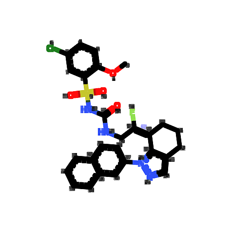 COc1ccc(Cl)cc1S(=O)(=O)NC(=O)NC/C(F)=C1/CCCc2cnn(-c3ccc4ccccc4c3)c21